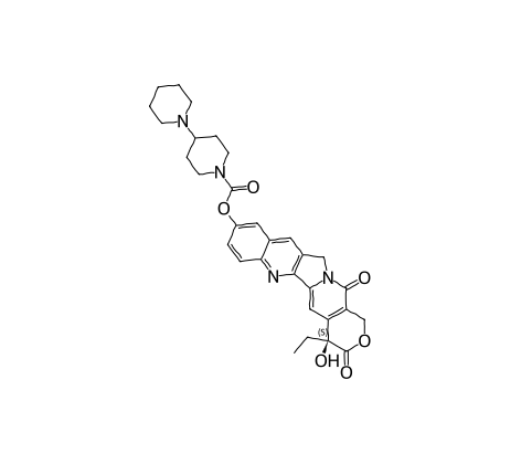 CC[C@@]1(O)C(=O)OCc2c1cc1n(c2=O)Cc2cc3cc(OC(=O)N4CCC(N5CCCCC5)CC4)ccc3nc2-1